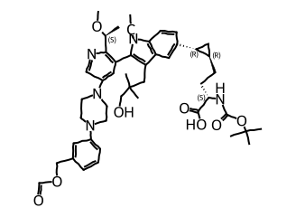 CCn1c(-c2cc(N3CCN(c4cccc(COC=O)c4)CC3)cnc2[C@H](C)OC)c(CC(C)(C)CO)c2cc([C@@H]3C[C@H]3CC[C@H](NC(=O)OC(C)(C)C)C(=O)O)ccc21